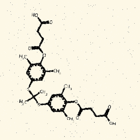 Cc1cc(SC(C)(C)Sc2cc(C)c(OC(=O)CCC(=O)O)c(C)c2)cc(C)c1OC(=O)CCC(=O)O